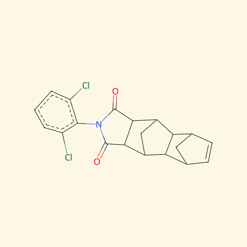 O=C1C2C3CC(C2C(=O)N1c1c(Cl)cccc1Cl)C1C2C=CC(C2)C31